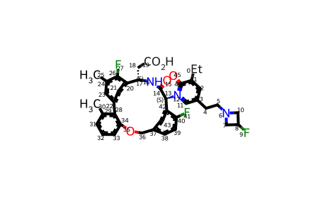 CCc1cc(CCN2CC(F)C2)cn([C@@H]2C(=O)N[C@@H](CC(=O)O)c3cc(cc(C)c3F)-c3c(C)cccc3OCc3ccc(F)c2c3)c1=O